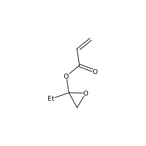 C=CC(=O)OC1(CC)CO1